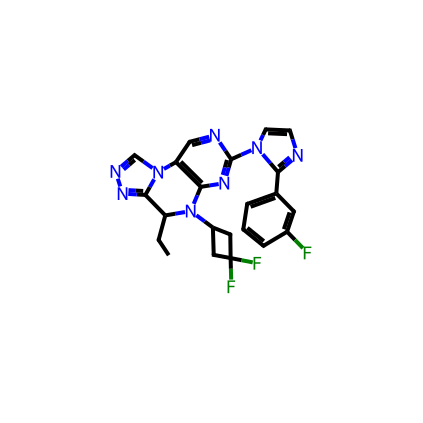 CCC1c2nncn2-c2cnc(-n3ccnc3-c3cccc(F)c3)nc2N1C1CC(F)(F)C1